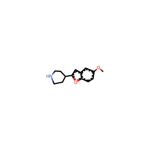 COc1ccc2oc(C3CCNCC3)cc2c1